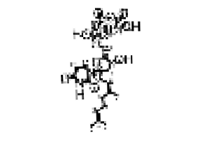 CC(C)=CCCC(C)=CC[C@]1(n2ccc(=O)[nH]c2=O)C[C@H](O)[C@@H](COP(=O)(O)OP(=O)(O)OP(=O)(O)O)O1